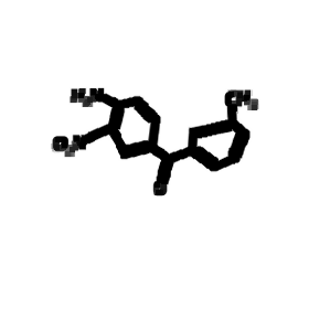 Cc1cccc(C(=O)c2ccc(N)c([N+](=O)[O-])c2)c1